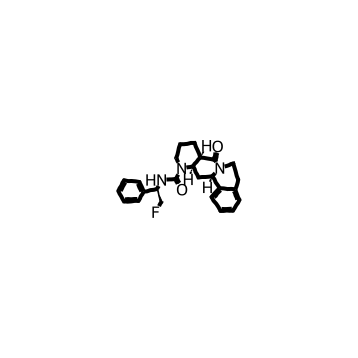 O=C1[C@@H]2CCCN(C(=O)N[C@@H](CF)c3ccccc3)[C@@H]2C[C@@H]2c3ccccc3CCN12